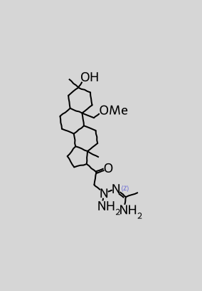 COCC12CCC(C)(O)CC1CCC1C3CCC(C(=O)CN(N)/N=C(/C)N)C3(C)CCC12